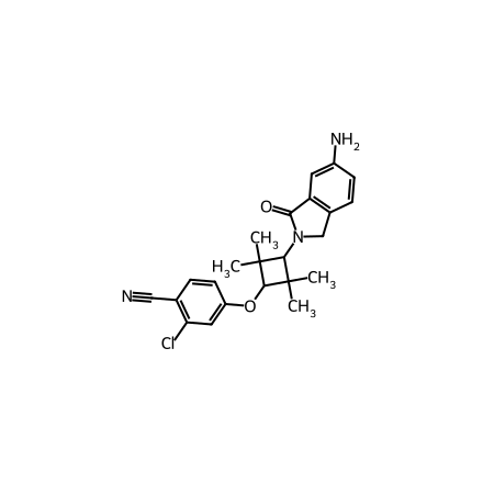 CC1(C)C(Oc2ccc(C#N)c(Cl)c2)C(C)(C)C1N1Cc2ccc(N)cc2C1=O